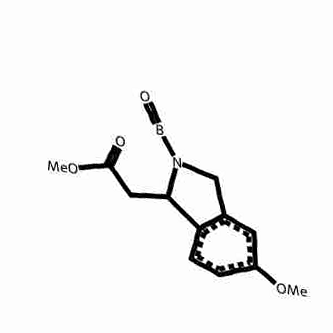 COC(=O)CC1c2ccc(OC)cc2CN1B=O